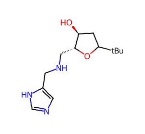 CC(C)(C)C1C[C@H](O)[C@@H](CNCc2cnc[nH]2)O1